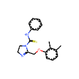 Cc1cccc(OCC2=NCCN2C(=S)Nc2ccccc2)c1C